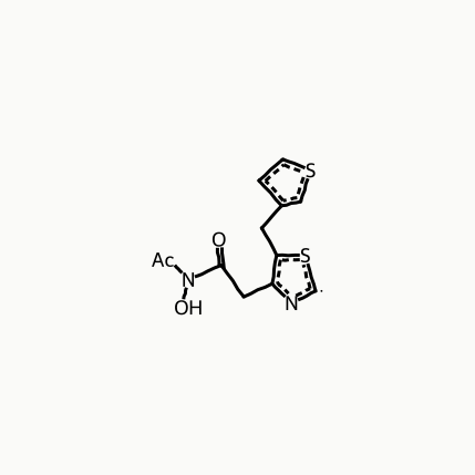 CC(=O)N(O)C(=O)Cc1n[c]sc1Cc1ccsc1